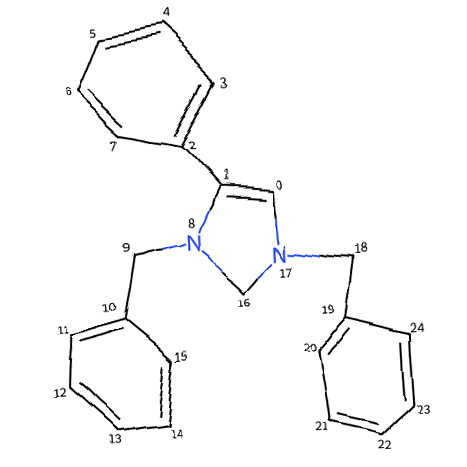 C1=C(c2ccccc2)N(Cc2ccccc2)CN1Cc1ccccc1